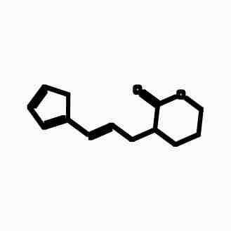 O=C1OCCCC1C/C=C/C1=CC=CC1